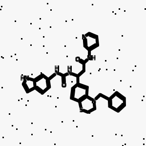 O=C(CC(NC(=O)Nc1ccc2cc[nH]c2c1)c1ccc2c(c1)N(Cc1ccccc1)CCS2)Nc1cccnc1